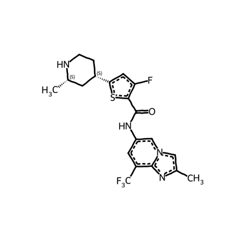 Cc1cn2cc(NC(=O)c3sc([C@H]4CCN[C@@H](C)C4)cc3F)cc(C(F)(F)F)c2n1